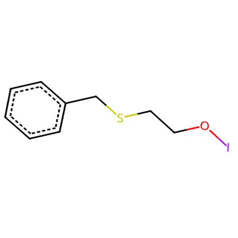 IOCCSCc1ccccc1